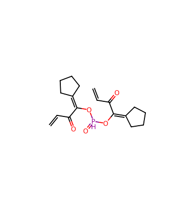 C=CC(=O)C(O[PH](=O)OC(C(=O)C=C)=C1CCCC1)=C1CCCC1